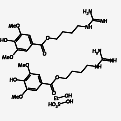 CCO.COc1cc(C(=O)OCCCCNC(=N)N)cc(OC)c1O.COc1cc(C(=O)OCCCCNC(=N)N)cc(OC)c1O.O=S(=O)(O)O